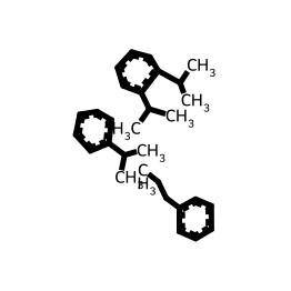 CC(C)c1ccccc1.CC(C)c1ccccc1C(C)C.CCCc1ccccc1